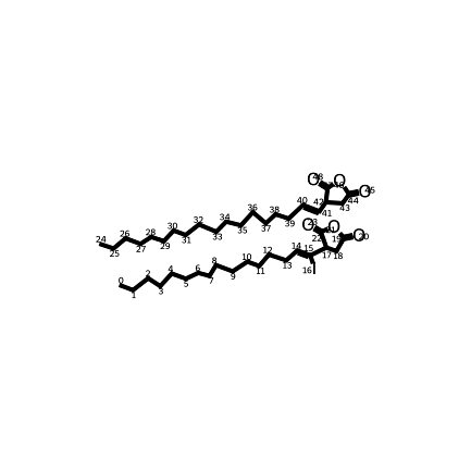 CCCCCCCCCCCCCCC=C(I)C1CC(=O)OC1=O.CCCCCCCCCCCCCCCCC=CC1CC(=O)OC1=O